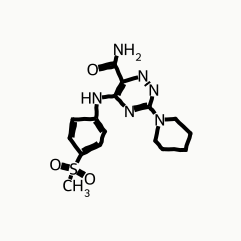 CS(=O)(=O)c1ccc(Nc2nc(N3CCCCC3)nnc2C(N)=O)cc1